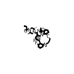 C=CC(=O)N1C[C@H](C)N(c2nc(=O)n3c4nc(c(F)cc24)-c2c(F)cccc2N(C)CCCCc2cccc(C(C)C)c2-3)C[C@H]1C